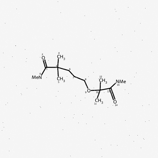 CNC(=O)C(C)(C)CCCOC(C)(C)C(=O)NC